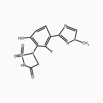 Cn1cnc(-c2ccc(O)c(N3CC(=O)NS3(=O)=O)c2F)n1